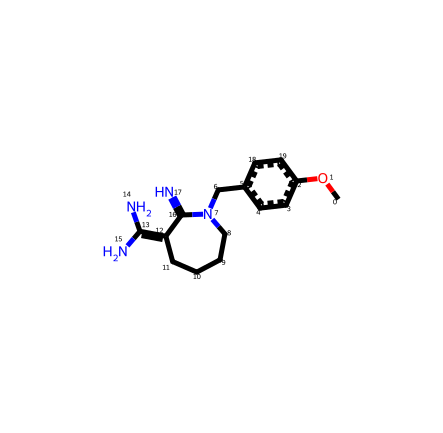 COc1ccc(CN2CCCCC(=C(N)N)C2=N)cc1